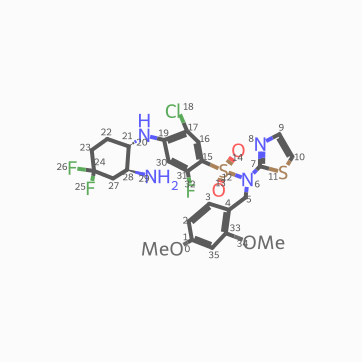 COc1ccc(CN(c2nccs2)S(=O)(=O)c2cc(Cl)c(N[C@H]3CCC(F)(F)C[C@@H]3N)cc2F)c(OC)c1